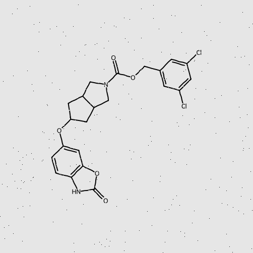 O=C(OCc1cc(Cl)cc(Cl)c1)N1CC2CC(Oc3ccc4[nH]c(=O)oc4c3)CC2C1